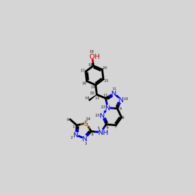 Cc1nnc(Nc2ccc3nnc([C@@H](C)c4ccc(O)cc4)n3n2)s1